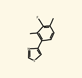 Cc1ccc(-c2cscn2)c(C)c1F